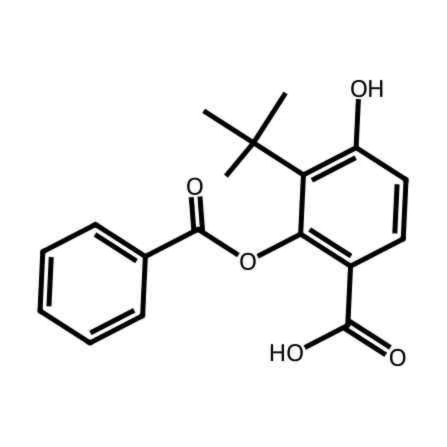 CC(C)(C)c1c(O)ccc(C(=O)O)c1OC(=O)c1ccccc1